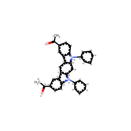 CC(=O)c1ccc2c(c1)c1cc3c4cc(C(C)=O)ccc4n(-c4ccccc4)c3cc1n2-c1ccccc1